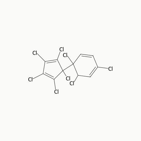 ClC1=CC(Cl)C(Cl)(C2(Cl)C(Cl)=C(Cl)C(Cl)=C2Cl)C=C1